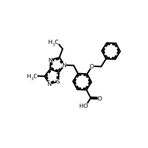 CCc1nc2c(C)nsc2n1Cc1ccc(C(=O)O)cc1OCc1ccccc1